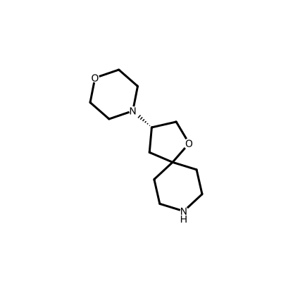 C1CC2(CCN1)C[C@H](N1CCOCC1)CO2